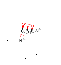 CC[O-].CC[O-].CC[O-].[Al+3].[Ni+2].[O-2]